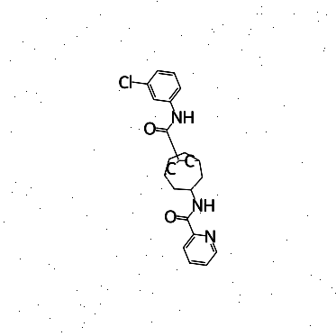 O=C(NC1CC2CCC(C1)CC(C(=O)Nc1cccc(Cl)c1)C2)c1ccccn1